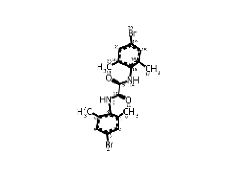 Cc1cc(Br)cc(C)c1NC(=O)C(=O)Nc1c(C)cc(Br)cc1C